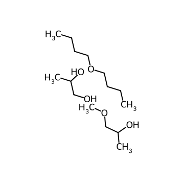 CC(O)CO.CCCCOCCCC.COCC(C)O